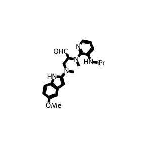 COc1ccc2[nH]c(N(C)CC(C=O)N(C)c3ncccc3NC(C)C)cc2c1